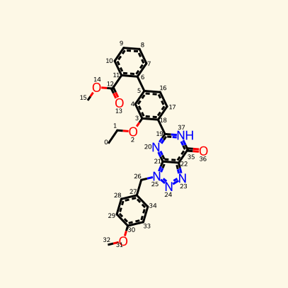 CCOc1cc(-c2ccccc2C(=O)OC)ccc1-c1nc2c(nnn2Cc2ccc(OC)cc2)c(=O)[nH]1